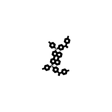 C=C(c1ccc(C)cc1)c1ccc(N(c2ccc(C)cc2)c2ccc3c4ccc(N(c5ccc(C)cc5)c5ccc(C(=C)c6ccc(C)cc6)cc5)c5cccc(c6cccc2c63)c54)cc1